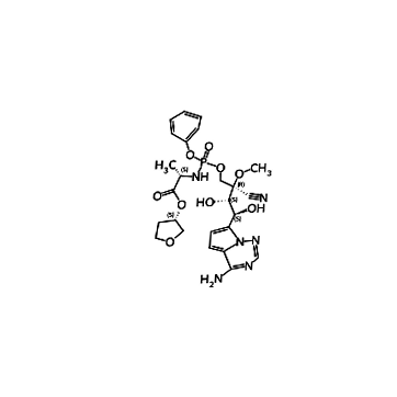 CO[C@](C#N)(COP(=O)(N[C@@H](C)C(=O)O[C@H]1CCOC1)Oc1ccccc1)[C@@H](O)[C@@H](O)c1ccc2c(N)ncnn12